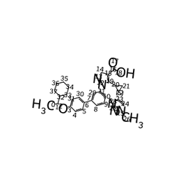 CC(Oc1ccc(-c2cccc(-n3ncc(C(=O)O)c3C3C[C@@H]3c3cn(C)nn3)c2)cc1)C1CCCCC1